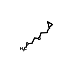 COCCOCCN1CC1